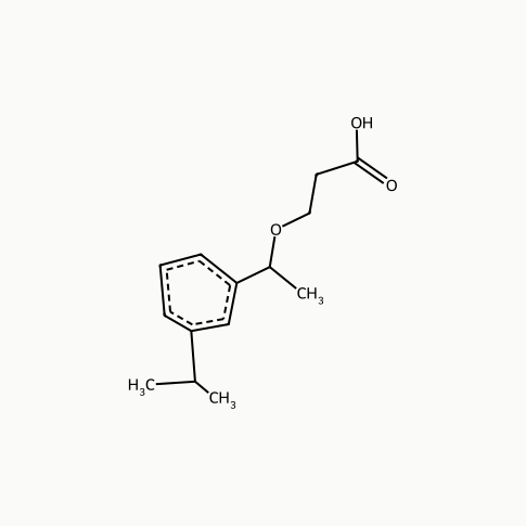 CC(C)c1cccc(C(C)OCCC(=O)O)c1